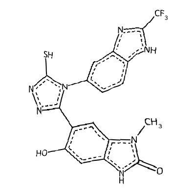 Cn1c(=O)[nH]c2cc(O)c(-c3nnc(S)n3-c3ccc4[nH]c(C(F)(F)F)nc4c3)cc21